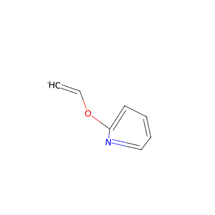 [CH]=COc1ccccn1